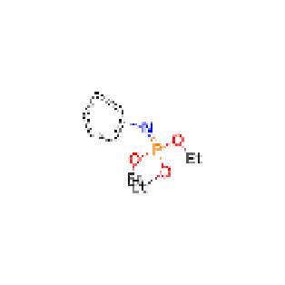 CCOP(=Nc1ccccc1)(OCC)OCC